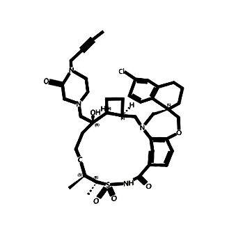 CC#CCN1CCN(C[C@@]2(O)CCC[C@H](C)[C@@H](C)S(=O)(=O)NC(=O)c3ccc4c(c3)N(C[C@@H]3CC[C@H]32)C[C@@]2(CCCc3cc(Cl)ccc32)CO4)CC1=O